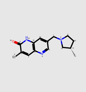 CCc1cc2ncc(CN3CC[C@H](C)C3)cc2[nH]c1=O